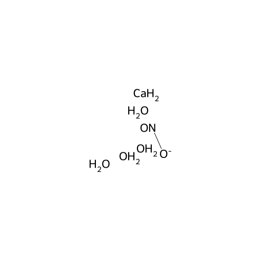 O.O.O.O.O=[NH+][O-].[CaH2]